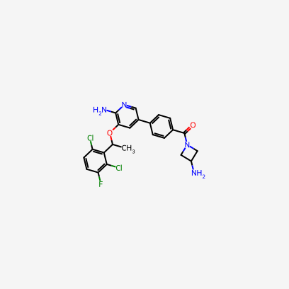 CC(Oc1cc(-c2ccc(C(=O)N3CC(N)C3)cc2)cnc1N)c1c(Cl)ccc(F)c1Cl